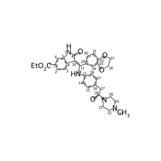 CCOC(=O)c1ccc2c(c1)NC(=O)C2=C(Nc1ccc(CC(=O)N2CCN(C)CC2)cc1)c1ccc2c(c1)OCCO2